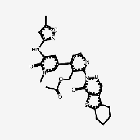 CC(=O)OCc1c(-c2cc(Nc3cc(C)on3)c(=O)n(C)c2)ccnc1-n1ncc2c3c(sc2c1=O)CCCC3